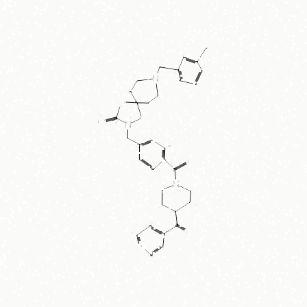 Cc1cccc(CN2CCC3(CC2)CN(Cc2ccc(C(=O)N4CCC(C(=O)c5ccccc5)CC4)cc2)C(=O)O3)c1